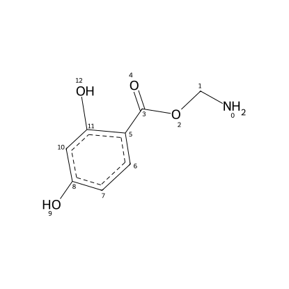 NCOC(=O)c1ccc(O)cc1O